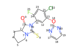 O=C1C2CCCCN2C(=S)N1c1cc(Oc2ncccn2)c(Cl)cc1F